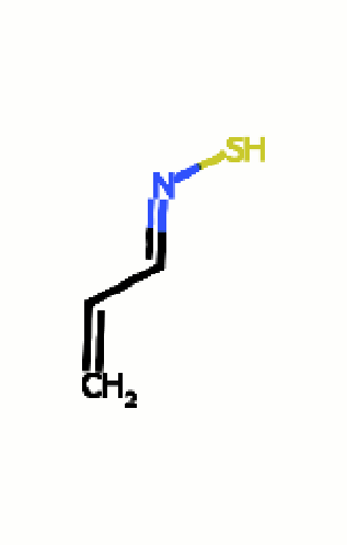 C=CC=NS